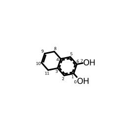 Oc1cc2c(cc1O)CC=C[CH]2